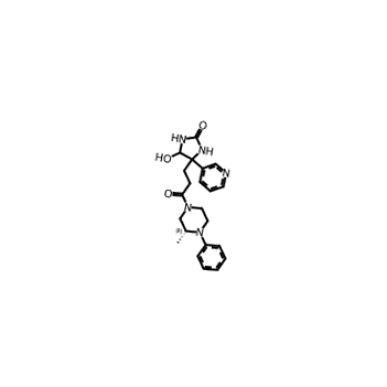 C[C@@H]1CN(C(=O)CCC2(c3cccnc3)NC(=O)NC2O)CCN1c1ccccc1